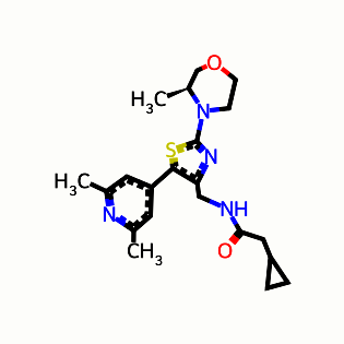 Cc1cc(-c2sc(N3CCOC[C@@H]3C)nc2CNC(=O)CC2CC2)cc(C)n1